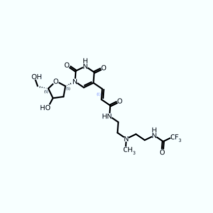 CN(CCNC(=O)/C=C/c1cn([C@@H]2CC(O)[C@H](CO)O2)c(=O)[nH]c1=O)CCNC(=O)C(F)(F)F